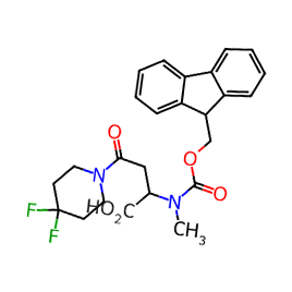 CN(C(=O)OCC1c2ccccc2-c2ccccc21)C(CC(=O)N1CCC(F)(F)CC1)C(=O)O